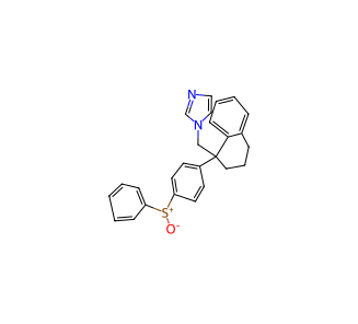 [O-][S+](c1ccccc1)c1ccc(C2(Cn3ccnc3)CCCc3ccccc32)cc1